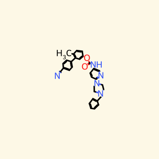 Cc1ccc(OC(=O)Nc2ccc(N3CCN(Cc4ccccc4)CC3)nc2)cc1-c1ccc(C#N)cc1